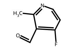 Cc1nccc(F)c1C=O